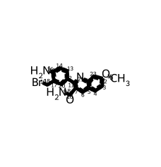 COc1ccc2cc(C(N)=O)c(-c3ccc(N)c(CBr)c3)nc2c1